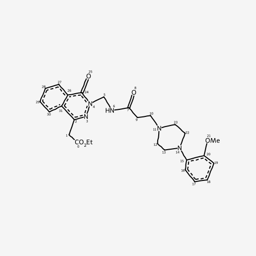 CCOC(=O)Cc1nn(CNC(=O)CCN2CCN(c3ccccc3OC)CC2)c(=O)c2ccccc12